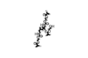 C=C(C)C(=O)OCCO.C=C(C)C(=O)OCCOC(=O)NCCC(C)CC(C)(C)CNC(=O)OCCOC(=O)C(=C)C